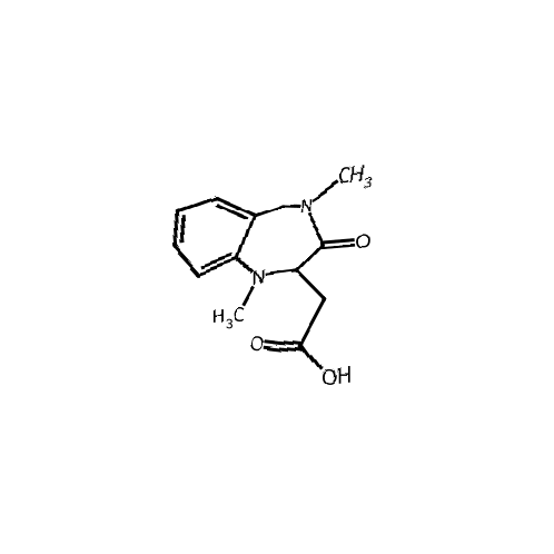 CN1Cc2ccccc2N(C)C(CC(=O)O)C1=O